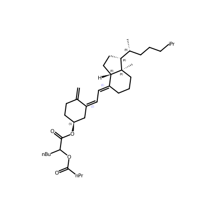 C=C1CC[C@H](OC(=O)C(CCCC)OC(=O)CCC)C/C1=C/C=C1\CCC[C@]2(C)[C@@H]([C@H](C)CCCC(C)C)CC[C@@H]12